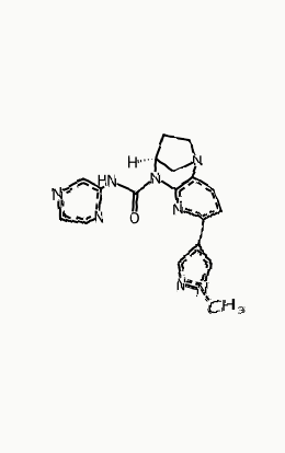 Cn1cc(-c2ccc3c(n2)N(C(=O)Nc2cnccn2)[C@H]2CCN3C2)cn1